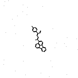 C=C/C(=C\C=C(/C)c1ccc2c3c(cccc13)-c1ccccc1-2)c1ccc(C)cc1